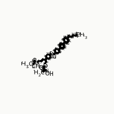 C=C(C)C(=O)OCCCC(CCOC(=O)C(=C)CO)C1CCC(OC(=O)C2CCC(c3ccc(-c4ccc(CCCCC)cc4)cc3)CC2)CC1